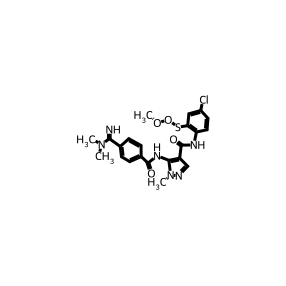 COOSc1cc(Cl)ccc1NC(=O)c1cnn(C)c1NC(=O)c1ccc(C(=N)N(C)C)cc1